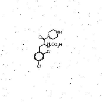 O=C(O)NC(Cc1ccc(Cl)cc1Cl)C(=O)N1CCNCC1